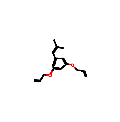 C=CCOc1cc(C=C(C)C)cc(OCC=C)c1